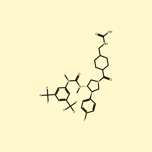 CN(C(=O)N(C)[C@@H]1CN(C(=O)C2CCC(CNC(=O)O)CC2)C[C@H]1c1ccc(F)cc1)c1cc(C(F)(F)F)cc(C(F)(F)F)c1